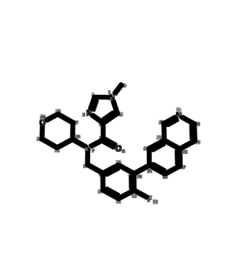 Cn1cnc(C(=O)N(Cc2ccc(F)c(-c3ccc4ccncc4c3)c2)C2CCOCC2)c1